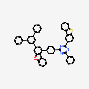 C1=C(c2nc(-c3ccccc3)nc(-c3ccc4sc5ccccc5c4c3)n2)CCC(c2cc(-c3cc(-c4ccccc4)cc(-c4ccccc4)c3)cc3oc4ccccc4c23)=C1